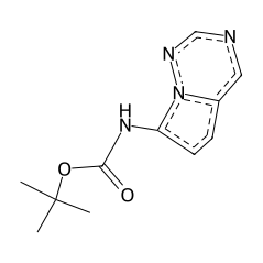 CC(C)(C)OC(=O)Nc1ccc2cncnn12